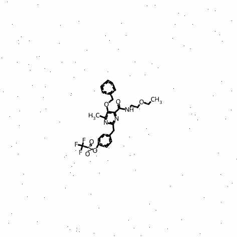 CCOCCNC(=O)c1nc(Cc2ccc(OS(=O)(=O)C(F)(F)F)cc2)nc(C)c1OCc1ccccc1